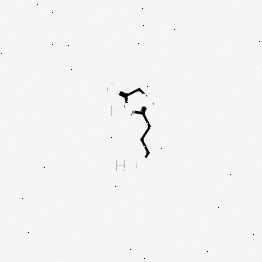 CCCCC1=NCC(=O)N1